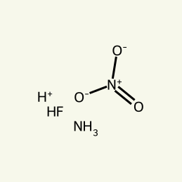 F.N.O=[N+]([O-])[O-].[H+]